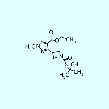 CCOC(=O)c1cn(C)nc1C1CN(C(=O)OC(C)(C)C)C1